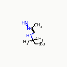 C/C(=C/NC(C)(C)CC(C)(C)C)N=N